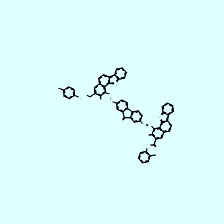 Cc1ccccc1NC(=O)c1cc2ccc3c4ccccc4[nH]c3c2c(N=Nc2ccc3c(c2)C(=O)c2cc(N=Nc4c(O)c(CONc5ccc(Cl)cc5)cc5ccc6c7ccccc7[nH]c6c45)ccc2-3)c1O